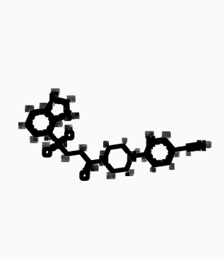 N#Cc1ccc(N2CCN(C(=O)CCS(=O)(=O)c3cccc4ncsc34)CC2)nc1